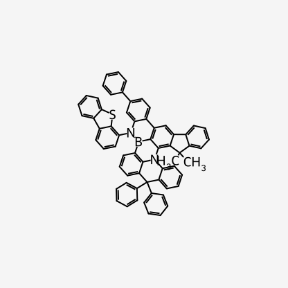 CC1(C)c2ccccc2-c2cc3c4c(c21)N1c2ccccc2C(c2ccccc2)(c2ccccc2)c2cccc(c21)B4N(c1cccc2c1sc1ccccc12)c1cc(-c2ccccc2)ccc1-3